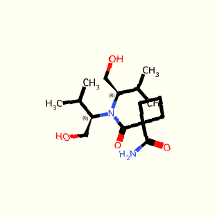 CC(C)[C@H](CO)N(C(=O)C1(C(N)=O)CCC1)[C@@H](CO)C(C)C